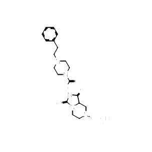 O=C(O)N1CCN2C(=O)N(OC(=O)N3CCN(CCc4ccccc4)CC3)C(=O)C2C1